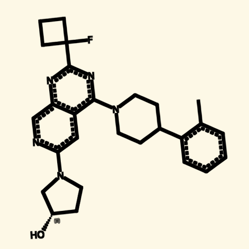 Cc1ccccc1C1CCN(c2nc(C3(F)CCC3)nc3cnc(N4CC[C@H](O)C4)cc23)CC1